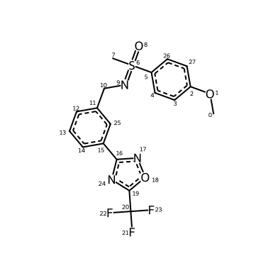 COc1ccc(S(C)(=O)=NCc2cccc(-c3noc(C(F)(F)F)n3)c2)cc1